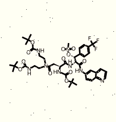 CC(C)(C)OC(=O)NCCN(CCNC(=O)OC(C)(C)C)C(=O)C[C@H](NC(=O)OC(C)(C)C)C(=O)N[C@H](C(=O)Nc1ccc2ncccc2c1)[C@H](OS(C)(=O)=O)c1ccc(C(F)(F)F)cc1